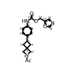 CC(=O)N1CC2(CC(c3ccc(NC(=O)OCc4cnco4)cc3)C2)C1